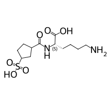 NCCCC[C@H](NC(=O)C1CCC(S(=O)(=O)O)C1)C(=O)O